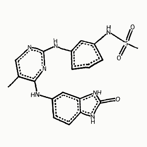 Cc1cnc(Nc2cccc(NS(C)(=O)=O)c2)nc1Nc1ccc2[nH]c(=O)[nH]c2c1